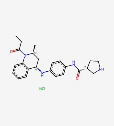 CCC(=O)N1c2ccccc2[C@H](Nc2ccc(NC(=O)[C@@H]3CCNC3)cc2)C[C@@H]1C.Cl